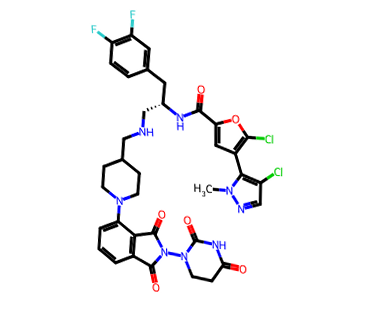 Cn1ncc(Cl)c1-c1cc(C(=O)N[C@H](CNCC2CCN(c3cccc4c3C(=O)N(N3CCC(=O)NC3=O)C4=O)CC2)Cc2ccc(F)c(F)c2)oc1Cl